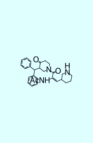 CC(=O)NC(=CC1CCCNC1)C(=O)N1CCC(=O)C(C(c2ccccc2)c2ccccc2)C1